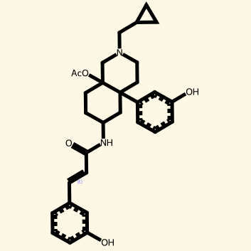 CC(=O)OC12CCC(NC(=O)/C=C/c3cccc(O)c3)CC1(c1cccc(O)c1)CCN(CC1CC1)C2